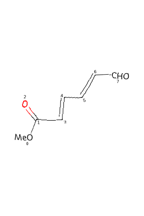 COC(=O)C=CC=CC=O